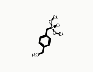 CCOP(=O)(Cc1ccc(CO)cc1)OCC